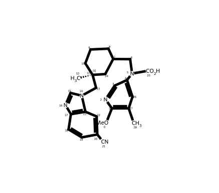 COc1ncc(N(CC2CCC[C@](C)(Cn3cnc4ccc(C#N)cc43)C2)C(=O)O)cc1C